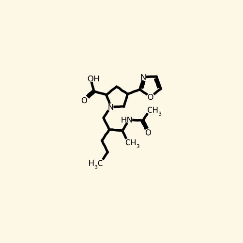 CCCC(CN1CC(c2ncco2)CC1C(=O)O)C(C)NC(C)=O